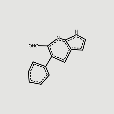 O=Cc1nc2[nH]ccc2cc1-c1ccccc1